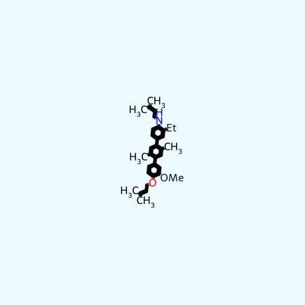 CCc1cc(-c2cc(C)c(-c3ccc(OCC=C(C)C)c(OC)c3)cc2C)ccc1NCC=C(C)C